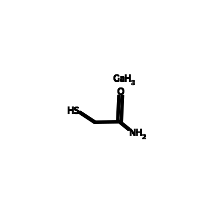 NC(=O)CS.[GaH3]